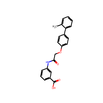 Cc1ccccc1-c1ccc(OCC(=O)Nc2cccc(C(=O)O)c2)cc1